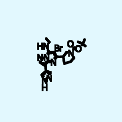 CCNc1c(Br)c(C2CCCN(C(=O)OC(C)(C)C)C2)nc2c(-c3cn[nH]c3)cnn12